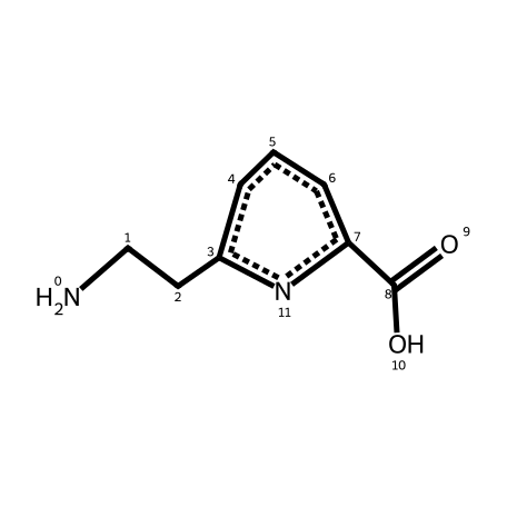 NCCc1cccc(C(=O)O)n1